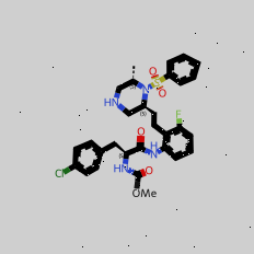 COC(=O)N[C@@H](Cc1ccc(Cl)cc1)C(=O)Nc1cccc(F)c1CC[C@H]1CNC[C@H](C)N1S(=O)(=O)c1ccccc1